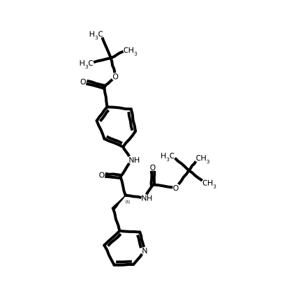 CC(C)(C)OC(=O)N[C@@H](Cc1cccnc1)C(=O)Nc1ccc(C(=O)OC(C)(C)C)cc1